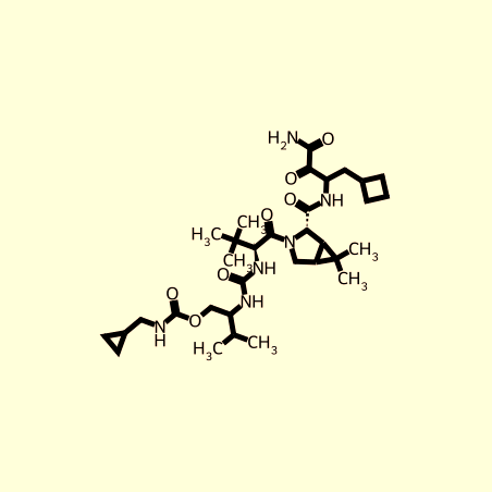 CC(C)C(COC(=O)NCC1CC1)NC(=O)N[C@H](C(=O)N1CC2C([C@H]1C(=O)NC(CC1CCC1)C(=O)C(N)=O)C2(C)C)C(C)(C)C